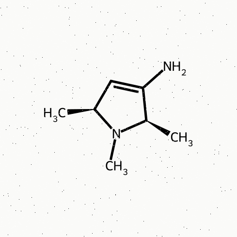 C[C@@H]1C(N)=C[C@H](C)N1C